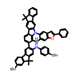 CC(C)(C)c1ccc(Nc2cc3c(cc2-c2ccc4c5cc6c(cc5n5c4c2Bc2cc4oc(-c7ccccc7)cc4cc2-5)-c2ccccc2C6(C)C)-c2ccc(C(C)(C)C)cc2C3(C)C)cc1